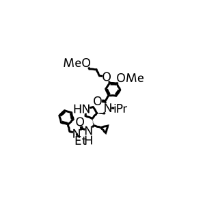 CCN(Cc1ccccc1)C(=O)NC(C1CC1)[C@@H]1CNC[C@H]1CN(C(=O)c1ccc(OC)c(OCCCOC)c1)C(C)C